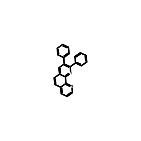 c1ccc(-c2cc3ccc4cccnc4c3nc2-c2ccccc2)cc1